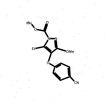 CCc1c(Oc2ccc(C#N)cc2)c(OC)nn1C(=O)OC(C)(C)C